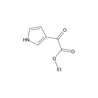 CCOC(=O)C(=O)c1cc[nH]c1